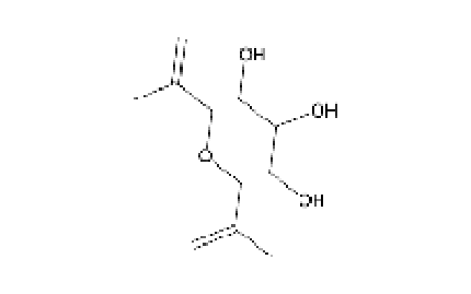 C=C(C)COCC(=C)C.OCC(O)CO